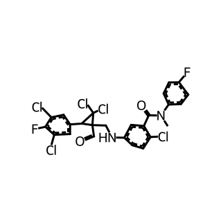 CN(C(=O)c1cc(NCC2(C=O)C(c3cc(Cl)c(F)c(Cl)c3)C2(Cl)Cl)ccc1Cl)c1ccc(F)cc1